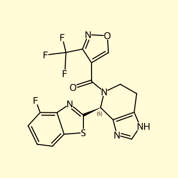 O=C(c1conc1C(F)(F)F)N1CCc2[nH]cnc2[C@H]1c1nc2c(F)cccc2s1